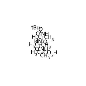 CC(C)(C)OC(=O)NC(C)(C)C(=O)NC(C)(C)C(=O)NC(C)(C)C(=O)O